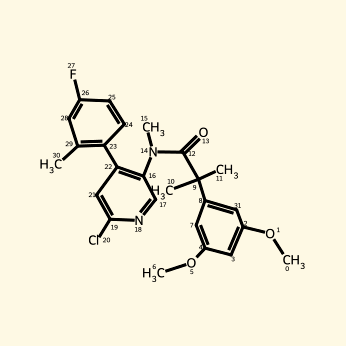 COc1cc(OC)cc(C(C)(C)C(=O)N(C)c2cnc(Cl)cc2-c2ccc(F)cc2C)c1